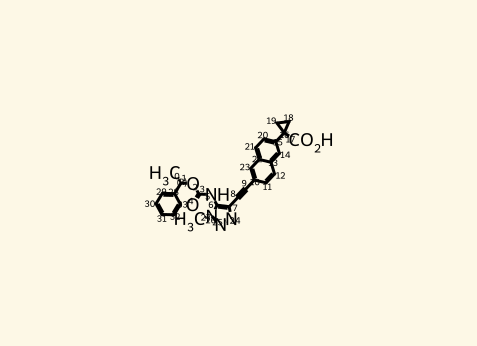 C[C@@H](OC(=O)Nc1c(C#Cc2ccc3cc(C4(C(=O)O)CC4)ccc3c2)nnn1C)c1ccccc1